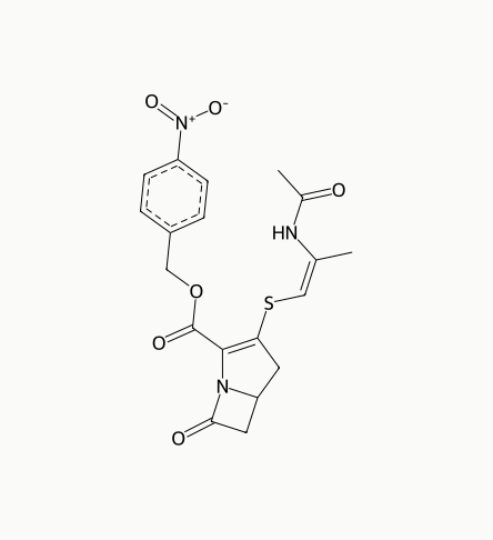 CC(=O)N/C(C)=C\SC1=C(C(=O)OCc2ccc([N+](=O)[O-])cc2)N2C(=O)CC2C1